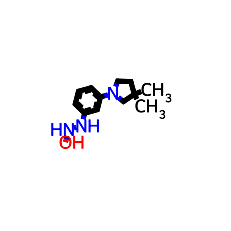 CC1(C)CCN(c2cccc(NNO)c2)C1